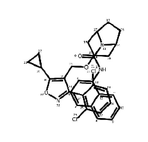 O=C(Nc1cccc2ccccc12)N1C2CCC1CC(OCc1c(-c3c(Cl)cccc3Cl)noc1C1CC1)C2